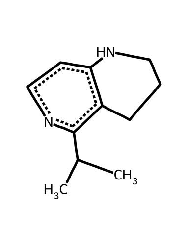 CC(C)c1nccc2c1CCCN2